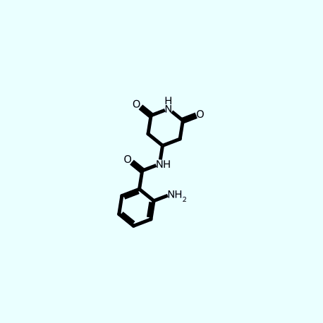 Nc1ccccc1C(=O)NC1CC(=O)NC(=O)C1